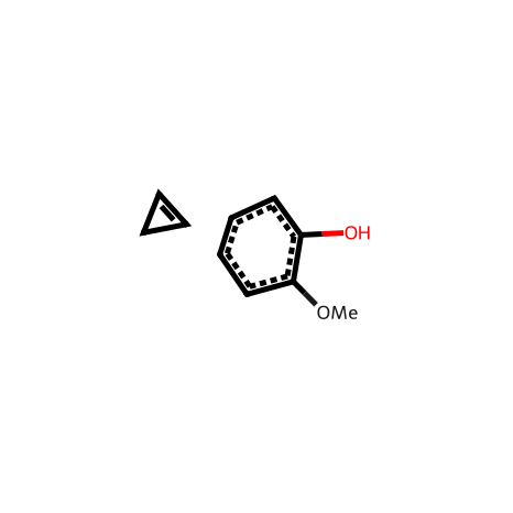 C1=CC1.COc1ccccc1O